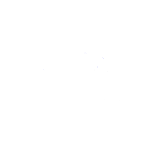 C=C(N[C@H](C)c1ncc(C(=O)N(CCF)CCF)cc1Cl)N(CC)NC(=O)c1cc(F)cc(C(F)(F)F)c1